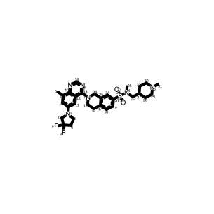 Cc1cc(N2CCC(F)(F)C2)cc2c(N3CCc4ccc(S(=O)(=O)N(C)CC5CCN(C)CC5)cc4C3)ncnc12